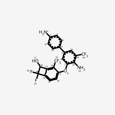 Nc1ccc(-c2cc(OC3=C=C=C4C(=C3C(F)(F)F)C(O)C4(F)F)c(N)c(C(F)(F)F)c2)cc1